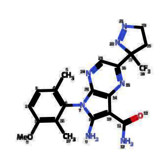 COc1ccc(C)c(-n2c(N)c(C(N)=O)c3nc(C4(C(F)(F)F)CCN=N4)cnc32)c1C